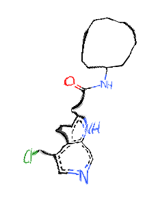 O=C(NC1CCCCCCC1)c1cc2c(Cl)cncc2[nH]1